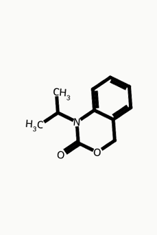 CC(C)N1C(=O)OCc2ccccc21